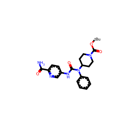 CC(C)(C)OC(=O)N1CCC(N(C(=O)Nc2ccc(C(N)=O)nc2)c2ccccc2)CC1